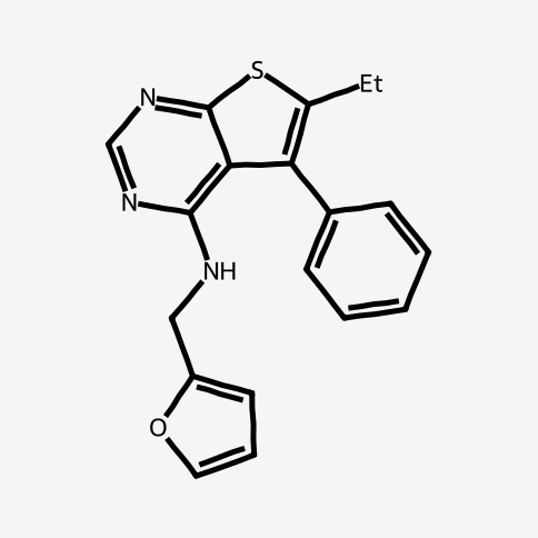 CCc1sc2ncnc(NCc3ccco3)c2c1-c1ccccc1